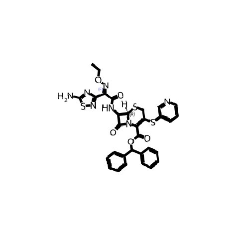 CCO/N=C(/C(=O)NC1C(=O)N2C(C(=O)OC(c3ccccc3)c3ccccc3)=C(Sc3cccnc3)CS[C@H]12)c1nsc(N)n1